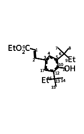 CCOC(=O)C=Cc1cc(C(C)(C)CC)c(O)c(C(C)(C)CC)c1